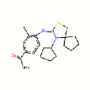 COC(=O)c1ccc(/N=C2/SCC3(CCCC3)N2C2CCCC2)c(C)c1